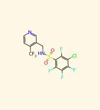 O=S(=O)(NCc1cnccc1C(F)(F)F)c1c(F)c(F)c(F)c(Cl)c1F